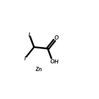 O=C(O)C(I)I.[Zn]